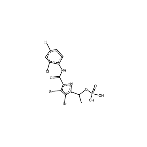 CC(OP(=O)(O)O)n1nc(C(=O)Nc2ccc(Cl)cc2Cl)c(Br)c1Br